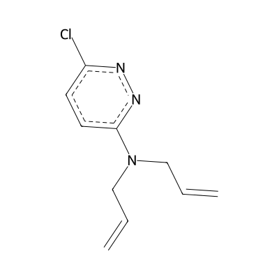 C=CCN(CC=C)c1ccc(Cl)nn1